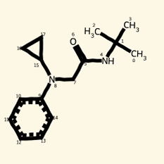 CC(C)(C)NC(=O)CN(c1ccccc1)C1CC1